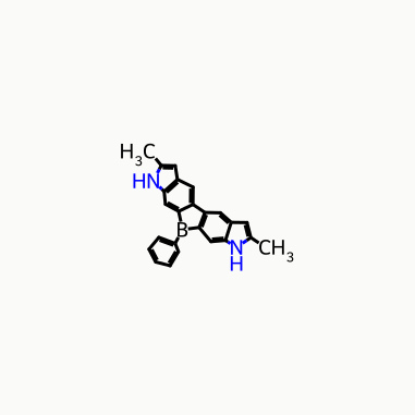 Cc1cc2cc3c(cc2[nH]1)B(c1ccccc1)c1cc2[nH]c(C)cc2cc1-3